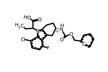 CCC(C(=O)O)n1c2c(c3c(F)ccc(Cl)c31)C[C@@H](NC(=O)OCc1ccccc1)CC2